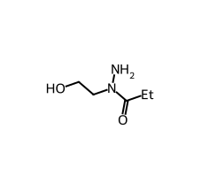 CCC(=O)N(N)CCO